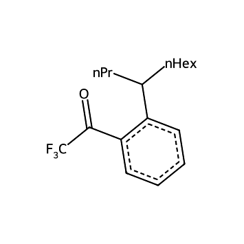 CCCCCCC(CCC)c1ccccc1C(=O)C(F)(F)F